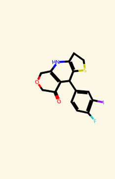 O=C1COCC2=C1C(c1ccc(F)c(I)c1)C1=C(CCS1)N2